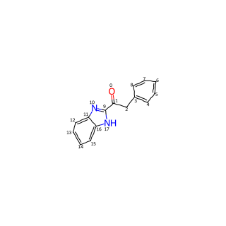 O=C(Cc1ccccc1)c1nc2ccccc2[nH]1